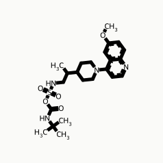 COc1ccc2nccc(N3CCC(C(C)CNS(=O)(=O)OC(=O)NC(C)(C)C)CC3)c2c1